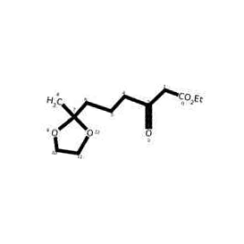 CCOC(=O)CC(=O)CCCC1(C)OCCO1